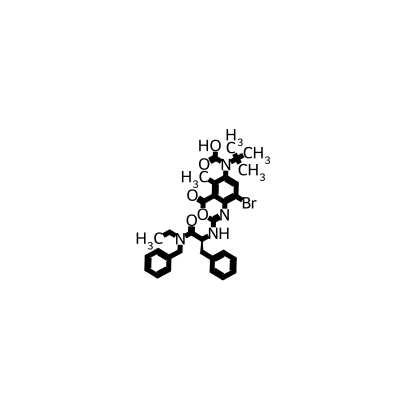 CCN(Cc1ccccc1)C(=O)[C@H](Cc1ccccc1)Nc1nc2c(Br)cc(N(C(=O)O)C(C)(C)C)c(C)c2c(=O)o1